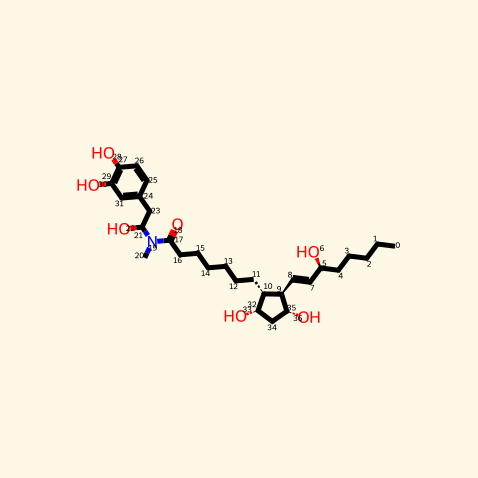 CCCCC[C@H](O)/C=C/[C@@H]1[C@@H](CCCCCCC(=O)N(C)C(O)Cc2ccc(O)c(O)c2)[C@@H](O)C[C@H]1O